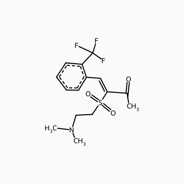 CC(=O)C(=Cc1ccccc1C(F)(F)F)S(=O)(=O)CCN(C)C